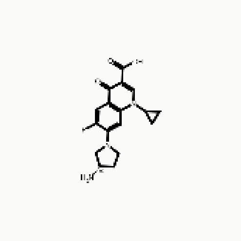 N[C@H]1CCN(c2cc3c(cc2F)c(=O)c(C(=O)O)cn3C2CC2)C1